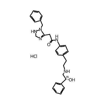 Cl.O=C(CC1=NCNN1Cc1ccccc1)Nc1ccc(CCNC[C@H](O)c2ccccc2)cc1